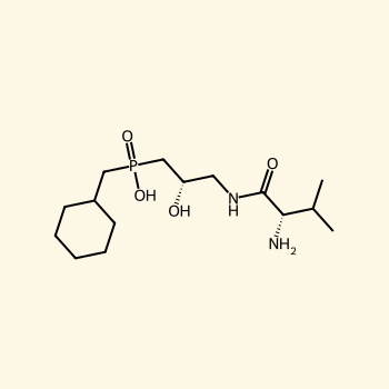 CC(C)[C@H](N)C(=O)NC[C@H](O)CP(=O)(O)CC1CCCCC1